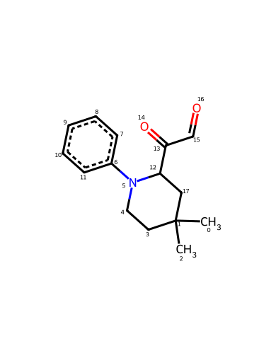 CC1(C)CCN(c2ccccc2)C(C(=O)C=O)C1